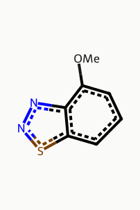 COc1cccc2snnc12